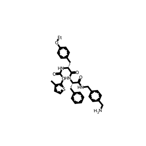 CCOc1ccc(C[C@@H](NC(=O)Oc2sccc2C)C(=O)N[C@@H](Cc2ccccc2)C(=O)NCc2ccc(CN)cc2)cc1